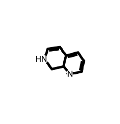 C1=C[N]C2CNC=CC2=C1